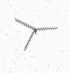 CCCCCCCCCCCCCCCCCCC[Si](CCCCCCCCCCCCCCCCCCC)(CCCCCCCCCCCCCCCCCCC)OCC